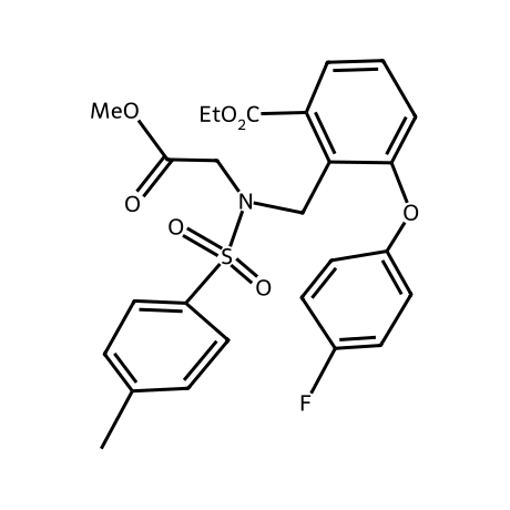 CCOC(=O)c1cccc(Oc2ccc(F)cc2)c1CN(CC(=O)OC)S(=O)(=O)c1ccc(C)cc1